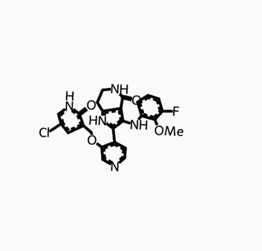 COc1c(F)cccc1Nc1c(-c2ccncc2OCc2cc(Cl)c[nH]c2=O)[nH]c2c1C(=O)NCC2